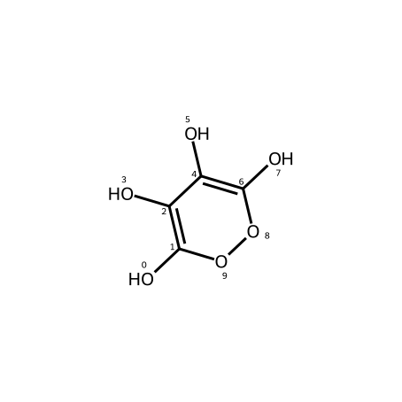 OC1=C(O)C(O)=C(O)OO1